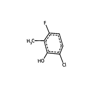 Cc1c(F)ccc(Cl)c1O